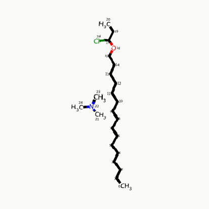 CCCCCCCCCCCCCCCCOC(Cl)CC.CN(C)C